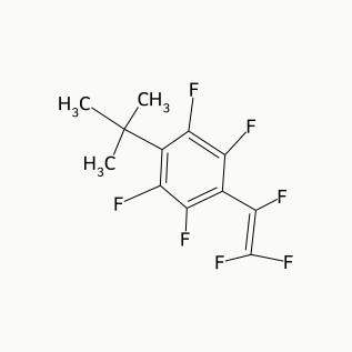 CC(C)(C)c1c(F)c(F)c(C(F)=C(F)F)c(F)c1F